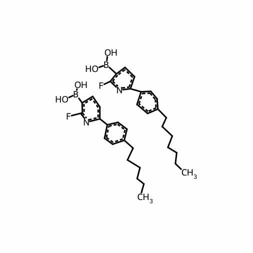 CCCCCCCc1ccc(-c2ccc(B(O)O)c(F)n2)cc1.CCCCCCc1ccc(-c2ccc(B(O)O)c(F)n2)cc1